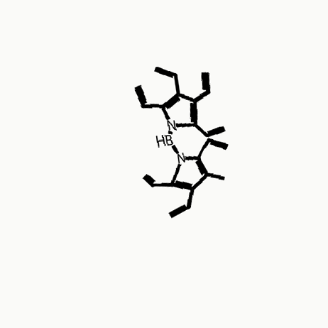 C=Cc1c(C)c(C=C)n(Bn2c(C=C)c(C=C)c(C=C)c2C=C)c1C=C